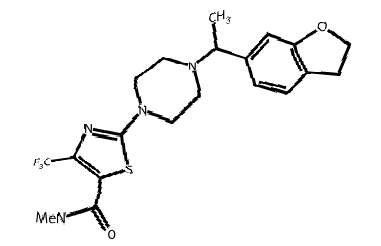 CNC(=O)c1sc(N2CCN(C(C)c3ccc4c(c3)OCC4)CC2)nc1C(F)(F)F